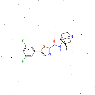 O=C(N[C@H]1CN2CCC1CC2)c1ncc(-c2cc(F)cc(F)c2)s1